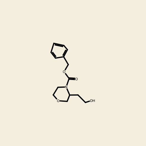 O=C(OCc1ccccc1)N1CCOCC1CCO